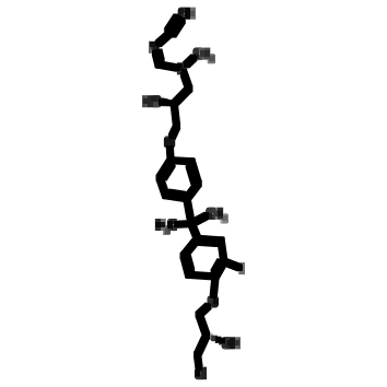 C#C/N=C\N(C)C[C@H](O)COc1ccc(C(C)(C)c2ccc(OC[C@H](O)CCl)c(I)c2)cc1